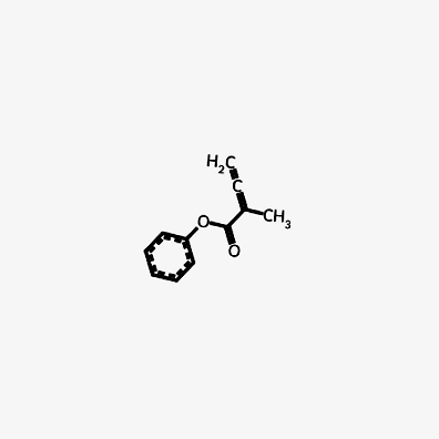 C=C=C(C)C(=O)Oc1ccccc1